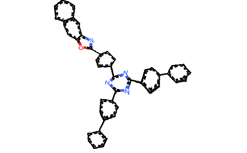 c1ccc(-c2ccc(-c3nc(-c4ccc(-c5ccccc5)cc4)nc(-c4ccc(-c5nc6cc7ccccc7cc6o5)cc4)n3)cc2)cc1